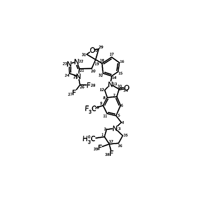 CC1CN(Cc2cc3c(c(C(F)(F)F)c2)CN(c2cccc(C4(Cc5nncn5C(F)F)COC4)c2)C3=O)CCC1(F)F